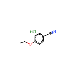 CCOc1ccc(C#N)cc1.Cl